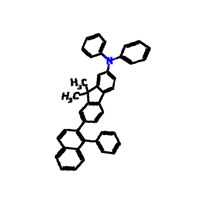 CC1(C)c2cc(-c3ccc4ccccc4c3-c3ccccc3)ccc2-c2ccc(N(c3ccccc3)c3ccccc3)cc21